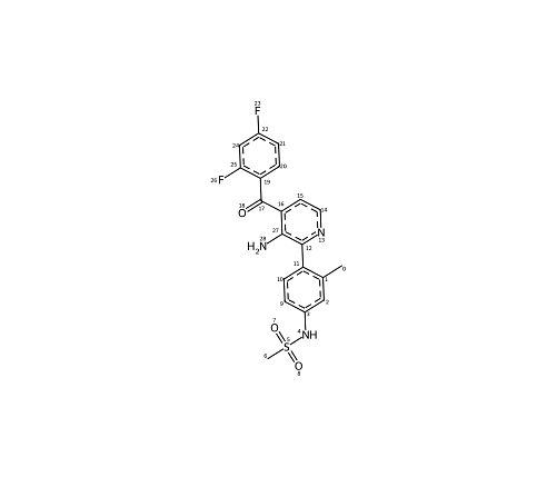 Cc1cc(NS(C)(=O)=O)ccc1-c1nccc(C(=O)c2ccc(F)cc2F)c1N